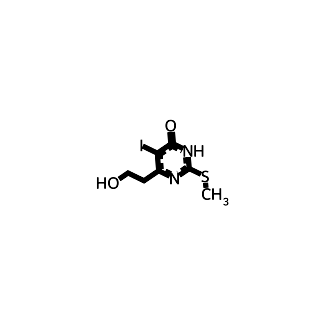 CSc1nc(CCO)c(I)c(=O)[nH]1